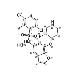 Cc1c(Cl)ccc(Cl)c1S(=O)(=O)Nc1cc(OC2CCNCC2F)c2occc2c1.Cl